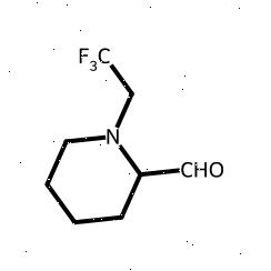 O=CC1CCCCN1CC(F)(F)F